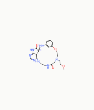 COCCN1CCOc2cccc(c2)N/C=C2\C(=O)Nc3ncnc(c32)NCCNC(=O)C1